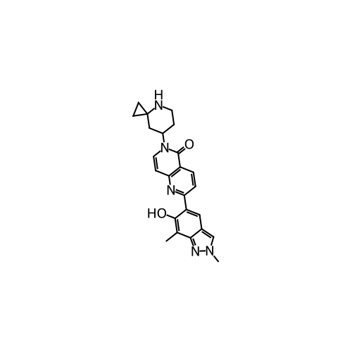 Cc1c(O)c(-c2ccc3c(=O)n(C4CCNC5(CC5)C4)ccc3n2)cc2cn(C)nc12